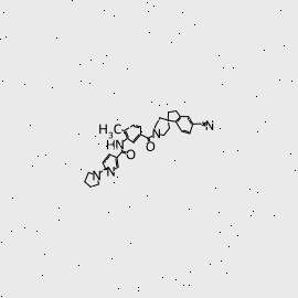 Cc1ccc(C(=O)N2CCC3(CCc4cc(C#N)ccc43)CC2)cc1NC(=O)c1ccc(N2CCCC2)nc1